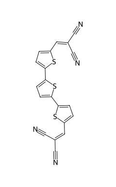 N#CC(C#N)=Cc1ccc(-c2ccc(-c3ccc(C=C(C#N)C#N)s3)s2)s1